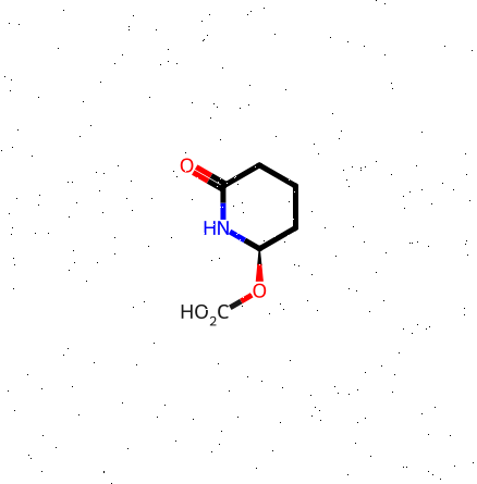 O=C1CCC[C@@H](OC(=O)O)N1